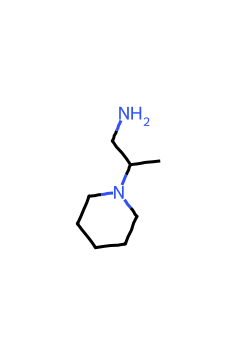 CC(CN)N1CCCCC1